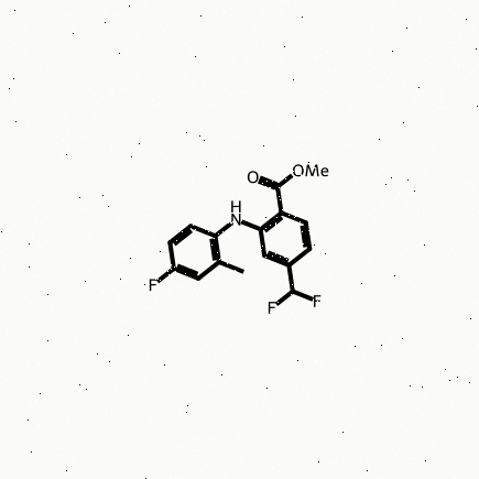 COC(=O)c1ccc(C(F)F)cc1Nc1ccc(F)cc1C